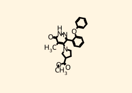 COC(=O)C1CCN(c2c(-c3ccccc3Oc3ccccc3)n[nH]c(=O)c2C)C1